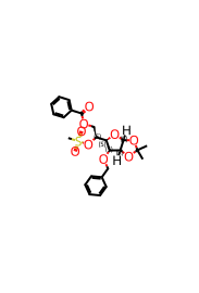 CC1(C)O[C@H]2O[C@H]([C@H](COC(=O)c3ccccc3)OS(C)(=O)=O)[C@H](OCc3ccccc3)[C@H]2O1